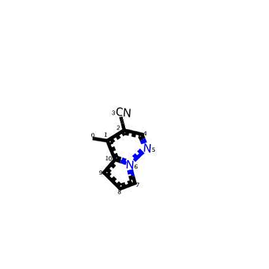 Cc1c(C#N)cnn2cccc12